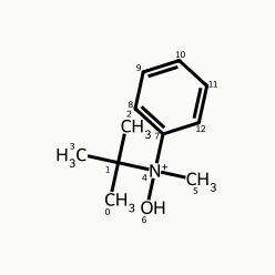 CC(C)(C)[N+](C)(O)c1ccccc1